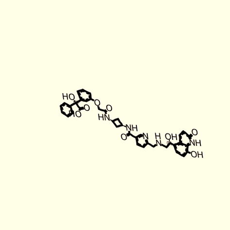 O=C(COc1cccc([C@](O)(C(=O)O)c2ccccc2)c1)N[C@H]1C[C@H](NC(=O)c2ccc(CNC[C@H](O)c3ccc(O)c4[nH]c(=O)ccc34)nc2)C1